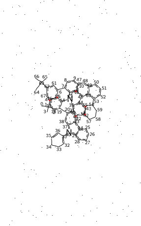 CC(C)(C)c1cc(-c2ccccc2N(c2ccccc2-c2ccc3c4ccccc4n(C4=CCCC=C4)c3c2)c2ccccc2-c2cccc3cccc(C4CCCCC4)c23)cc(C(C)(C)C)c1